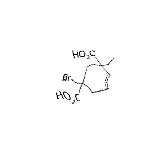 CC1(C(=O)O)C=CCC(Br)(C(=O)O)C1